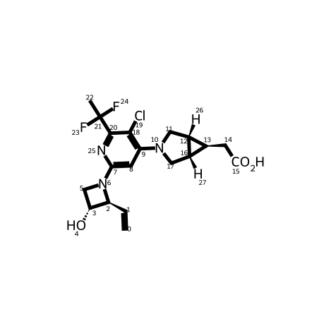 C=C[C@H]1[C@H](O)CN1c1cc(N2C[C@@H]3[C@@H](CC(=O)O)[C@@H]3C2)c(Cl)c(C(C)(F)F)n1